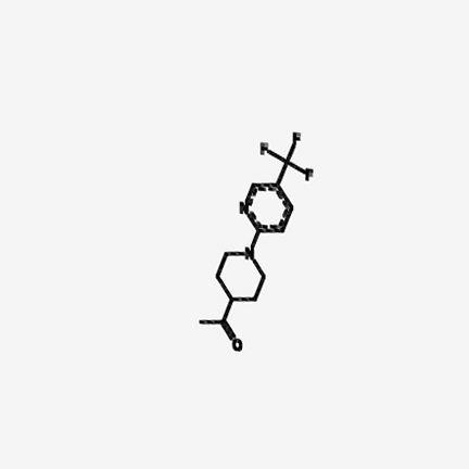 CC(=O)C1CCN(c2ccc(C(F)(F)F)cn2)CC1